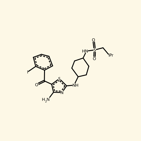 CC(C)CS(=O)(=O)NC1CCC(Nc2nc(N)c(C(=O)c3ccccc3I)s2)CC1